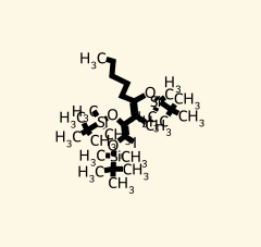 CCCCCC(O[Si](C)(C)C(C)(C)C)=C(C)C(O[Si](C)(C)C(C)(C)C)=C(I)O[Si](C)(C)C(C)(C)C